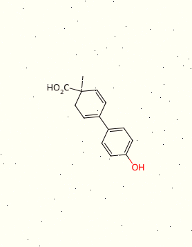 CC1(C(=O)O)C=CC(c2ccc(O)cc2)=CC1